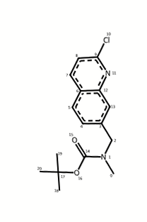 CN(Cc1ccc2ccc(Cl)nc2c1)C(=O)OC(C)(C)C